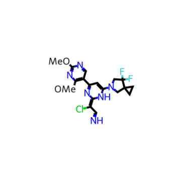 COc1ncc(C2=N/C(=C(\Cl)C=N)NC(N3CC(F)(F)C4(CC4)C3)=C2)c(OC)n1